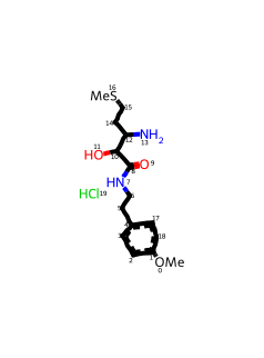 COc1ccc(CCNC(=O)C(O)C(N)CCSC)cc1.Cl